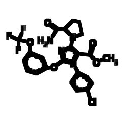 COC(=O)c1c(N2CCCC2C(N)=O)nc(Oc2cccc(OC(F)(F)F)c2)n1-c1ccc(Cl)cc1